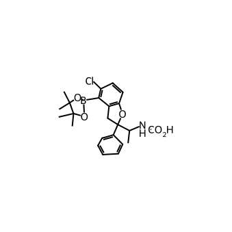 CC(NC(=O)O)C1(c2ccccc2)Cc2c(ccc(Cl)c2B2OC(C)(C)C(C)(C)O2)O1